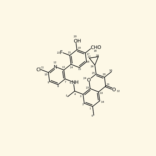 Cc1cc(C(C)Nc2ccc(Cl)nc2-c2ccc(C=O)c(O)c2F)c2oc(C3CC3)c(C)c(=O)c2c1